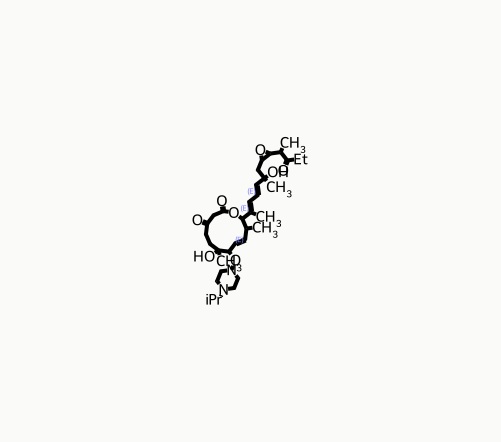 CCC(=O)C(C)C1OC1CC(C)(O)/C=C/C=C(\C)C1OC(=O)CC(=O)CCC(C)(O)C(ON2CCN(C(C)C)CC2)/C=C/C1C